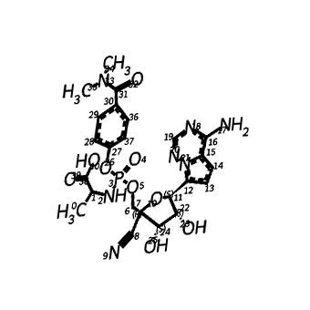 CC(NP(=O)(OC[C@@]1(C#N)O[C@@H](c2ccc3c(N)ncnn23)[C@H](O)[C@@H]1O)Oc1ccc(C(=O)N(C)C)cc1)C(=O)O